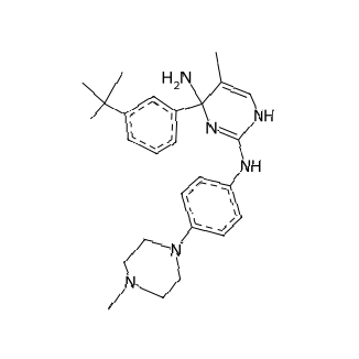 CC1=CNC(Nc2ccc(N3CCN(C)CC3)cc2)=NC1(N)c1cccc(C(C)(C)C)c1